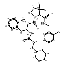 Cc1ccccc1CNC(=O)[C@H]1N(C(=O)[C@@H](O)[C@H](Cc2ccccc2)NC(=O)OCC2CCCCO2)CSC1(C)C